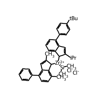 CC1=Cc2c(-c3ccccc3)ccc(C)c2[CH]1[Zr+2]([CH]1C(C(C)C)=Cc2c(-c3ccc(C(C)(C)C)cc3)cccc21)=[Si](C)C.[Cl-].[Cl-]